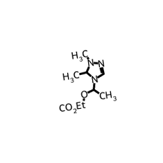 CCOC(=O)OC(C)N1C=NN(C)C1C